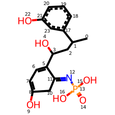 CC(CC(O)C1=CC=C(O)CC1=NP(=O)(O)O)c1cccc(O)c1